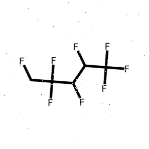 FCC(F)(F)C(F)C(F)C(F)(F)F